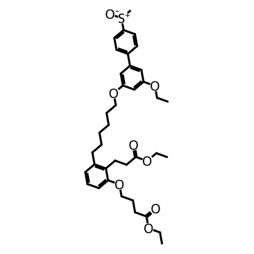 CCOC(=O)CCCOc1cccc(CCCCCCOc2cc(OCC)cc(-c3ccc([S+](C)[O-])cc3)c2)c1CCC(=O)OCC